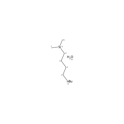 CCCCCCCC[Si](C)C.O